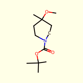 COC1(C)CCN(C(=O)OC(C)(C)C)CC1